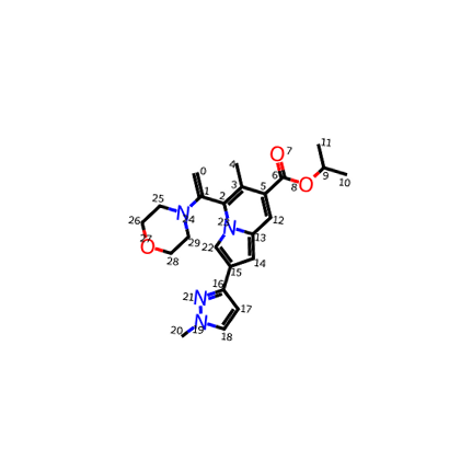 C=C(c1c(C)c(C(=O)OC(C)C)cc2cc(-c3ccn(C)n3)cn12)N1CCOCC1